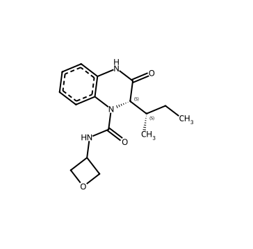 CC[C@H](C)[C@H]1C(=O)Nc2ccccc2N1C(=O)NC1COC1